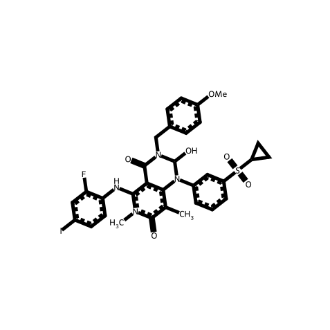 COc1ccc(CN2C(=O)c3c(c(C)c(=O)n(C)c3Nc3ccc(I)cc3F)N(c3cccc(S(=O)(=O)C4CC4)c3)C2O)cc1